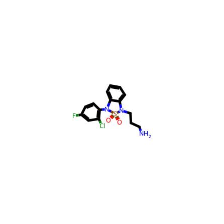 NCCCN1c2ccccc2N(c2ccc(F)cc2Cl)S1(=O)=O